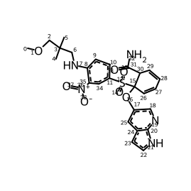 COCC(C)(C)CNc1ccc(S(=O)(=O)C2(Oc3cnc4[nH]ccc4c3)C=CC=CC2C(N)=O)cc1[N+](=O)[O-]